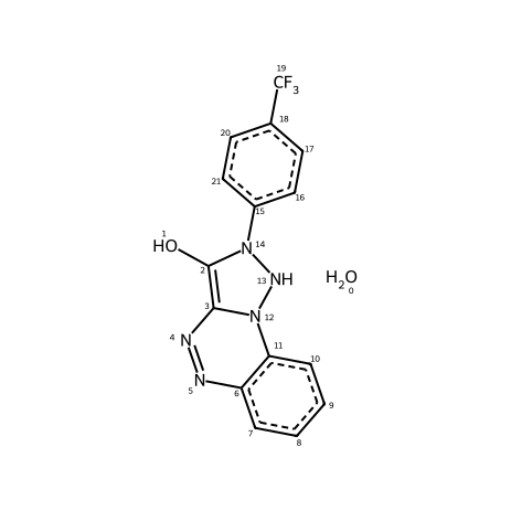 O.OC1=C2N=Nc3ccccc3N2NN1c1ccc(C(F)(F)F)cc1